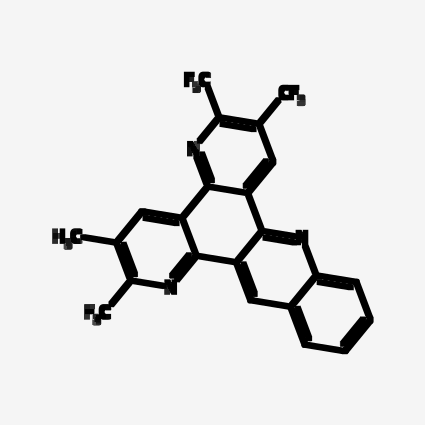 Cc1cc2c(nc1C(F)(F)F)c1cc3ccccc3nc1c1cc(C(F)(F)F)c(C(F)(F)F)nc21